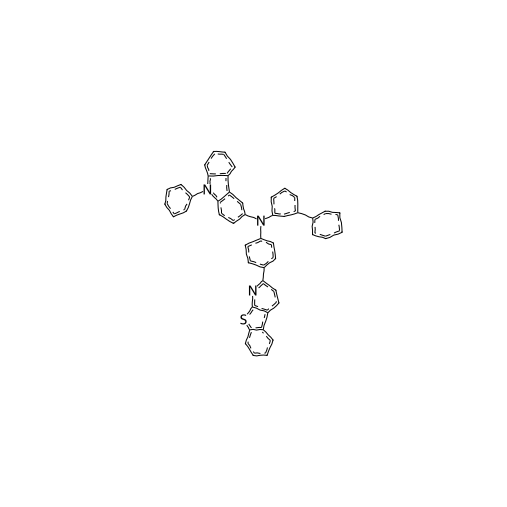 c1ccc(-c2cccc(N(c3ccc(-c4ccc5c(n4)sc4ccccc45)cc3)c3ccc4c(c3)c3ccccc3n4-c3ccccc3)c2)cc1